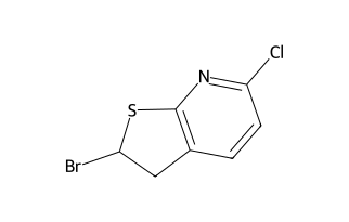 Clc1ccc2c(n1)SC(Br)C2